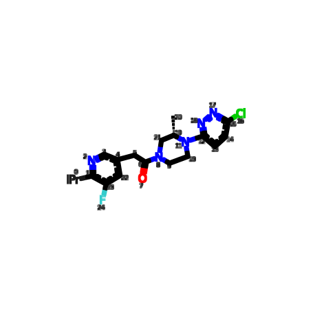 CC(C)c1ncc(CC(=O)N2CCN(c3ccc(Cl)nn3)[C@@H](C)C2)cc1F